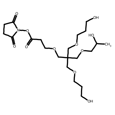 CC(O)COCC(COCCCO)(COCCCO)COCCC(=O)ON1C(=O)CCC1=O